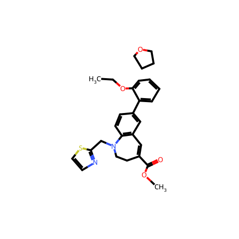 C1CCOC1.CCOc1ccccc1-c1ccc2c(c1)C=C(C(=O)OC)CCN2Cc1nccs1